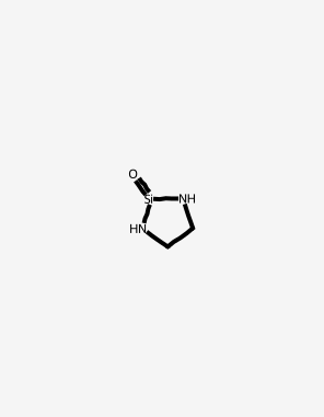 O=[Si]1NCCN1